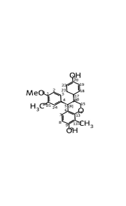 COc1ccc([C@@H]2c3ccc(O)c(C)c3OC[C@@H]2C2C=CC(O)=CC2)cc1C